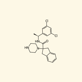 C[C@H](NC(=O)C1(N2CCNCC2)Cc2ccccc2C1)c1cc(Cl)cc(Cl)c1